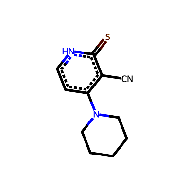 N#Cc1c(N2CCCCC2)cc[nH]c1=S